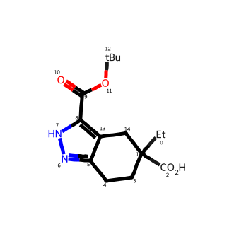 CCC1(C(=O)O)CCc2n[nH]c(C(=O)OC(C)(C)C)c2C1